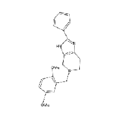 COc1ccc(OC)c(CN2CCc3nc(-c4ccccc4)[nH]c3C2)c1